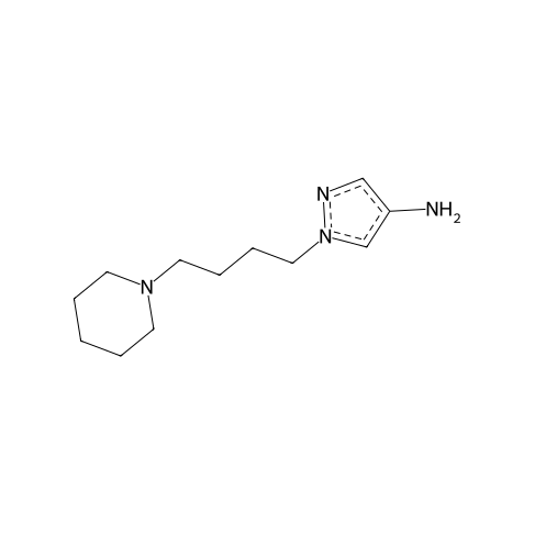 Nc1cnn(CCCCN2CCCCC2)c1